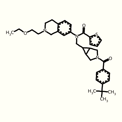 CCOCCN1CCc2ccc(N(CC3C4CN(C(=O)c5ccc(C(C)(C)C)cc5)CC43)C(=O)c3cccs3)cc2C1